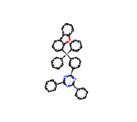 c1ccc(-c2nc(-c3ccccc3)nc(-c3cccc([Si](c4ccccc4)(c4ccccc4)c4cccc5c4oc4ccccc45)c3)n2)cc1